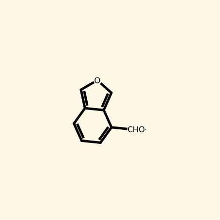 O=[C]c1cccc2cocc12